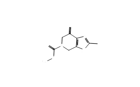 Cc1nc2c(o1)CN(C(=O)OC(C)(C)C)CC2=O